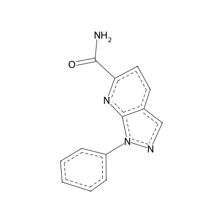 NC(=O)c1ccc2cnn(-c3ccccc3)c2n1